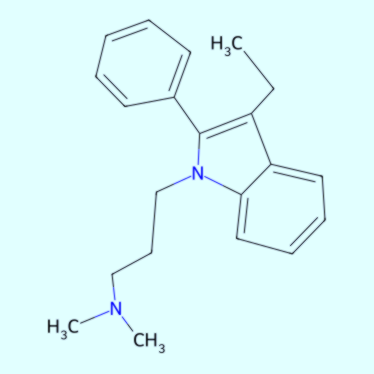 CCc1c(-c2ccccc2)n(CCCN(C)C)c2ccccc12